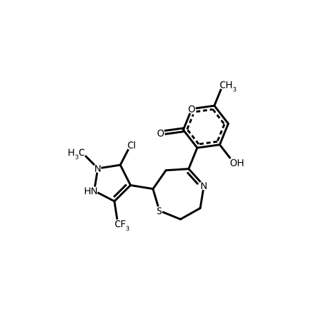 Cc1cc(O)c(C2=NCCSC(C3=C(C(F)(F)F)NN(C)C3Cl)C2)c(=O)o1